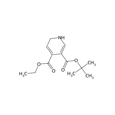 CCOC(=O)C1=CCNC=C1C(=O)OC(C)(C)C